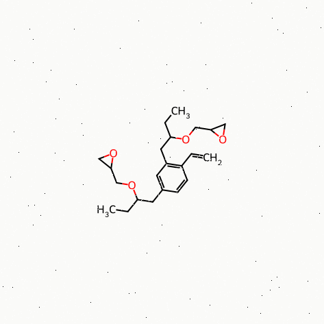 C=Cc1ccc(CC(CC)OCC2CO2)cc1CC(CC)OCC1CO1